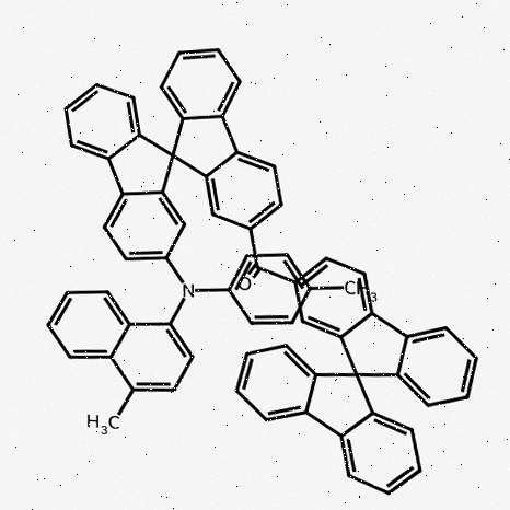 Cc1ccc(N(c2ccc3c(c2)C2(c4ccccc4-c4ccc(C(=O)c5ccc6c(c5)C5(c7ccccc7-c7ccccc75)c5ccccc5-6)cc42)c2ccccc2-3)c2ccc(C)c3ccccc23)cc1